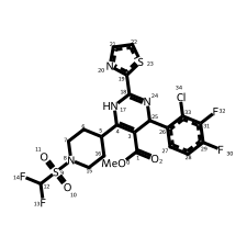 COC(=O)C1=C(C2CCN(S(=O)(=O)C(F)F)CC2)NC(c2nccs2)=NC1c1ccc(F)c(F)c1Cl